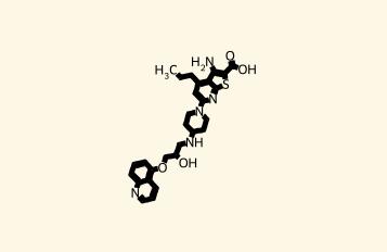 CCCc1cc(N2CCC(NCC(O)COc3cccc4ncccc34)CC2)nc2sc(C(=O)O)c(N)c12